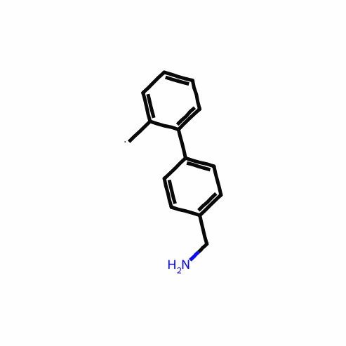 [CH2]c1ccccc1-c1ccc(CN)cc1